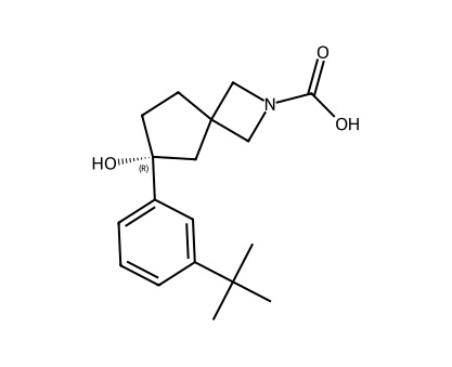 CC(C)(C)c1cccc([C@@]2(O)CCC3(CN(C(=O)O)C3)C2)c1